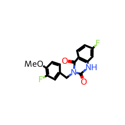 COc1ccc(Cn2c(=O)[nH]c3cc(F)ccc3c2=O)cc1F